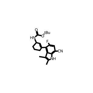 Cc1[nH]c2c(C#N)cc(F)c(C3=CC(NC(=O)OC(C)(C)C)CCC3)c2c1C